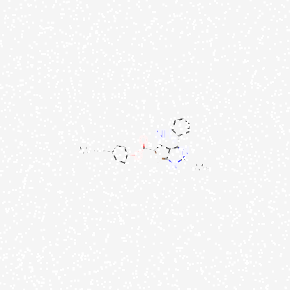 COc1ccc(OC(=O)c2sc3nc(SC)nc(-c4ccccc4)c3c2N)cc1